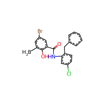 Bc1cc(Br)cc(C(=O)Nc2cc(Cl)ccc2Cc2ccccc2)c1O